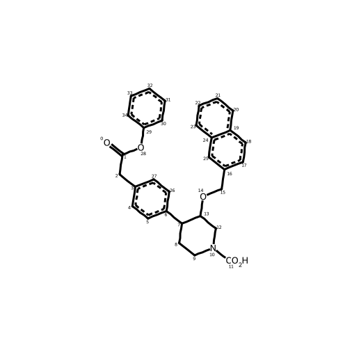 O=C(Cc1ccc(C2CCN(C(=O)O)CC2OCc2ccc3ccccc3c2)cc1)Oc1ccccc1